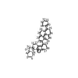 CC1(C)c2ccccc2-c2c1ccc1c2oc2cccc(-c3ccc4ccc5c(-c6ccccc6)ccc6ccc3c4c65)c21